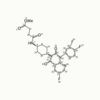 COC(=O)CCC(=O)N[C@H]1CC[C@@H](n2c(=O)c3cc(F)cnc3n(-c3ccc(F)c(F)c3)c2=O)CC1